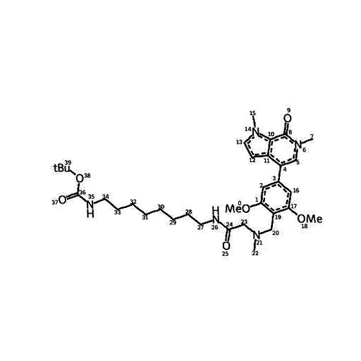 COc1cc(-c2cn(C)c(=O)c3c2ccn3C)cc(OC)c1CN(C)CC(=O)NCCCCCCCCNC(=O)OC(C)(C)C